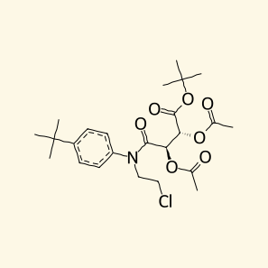 CC(=O)O[C@@H](C(=O)OC(C)(C)C)[C@@H](OC(C)=O)C(=O)N(CCCl)c1ccc(C(C)(C)C)cc1